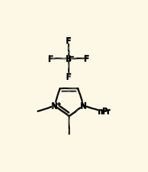 CCCn1cc[n+](C)c1C.F[B-](F)(F)F